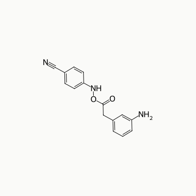 N#Cc1ccc(NOC(=O)Cc2cccc(N)c2)cc1